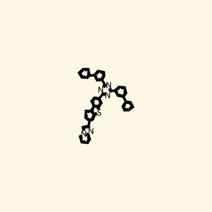 c1ccc(-c2cccc(-c3nc(-c4cccc(-c5ccccc5)c4)nc(-c4ccc5c(c4)sc4cc(-c6cn7ccccc7n6)ccc45)n3)c2)cc1